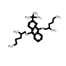 CCCCC(C)COc1c2ccccc2c(OCC(C)CCCC)c2cc(C(C)(C)C)ccc12